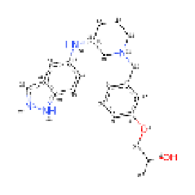 CC(O)COc1cccc(CN2CCC[C@@H](Nc3ccc4[nH]ncc4c3)C2)c1